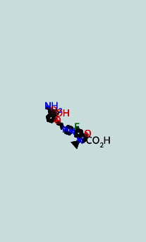 NC[C@H]1OB(O)c2c(OCCCN3CCN(c4cc5c(cc4F)c(=O)c(C(=O)O)cn5C4CC4)CC3)cccc21